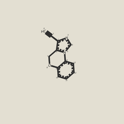 C#Cc1ncn2c1COc1ccccc1-2